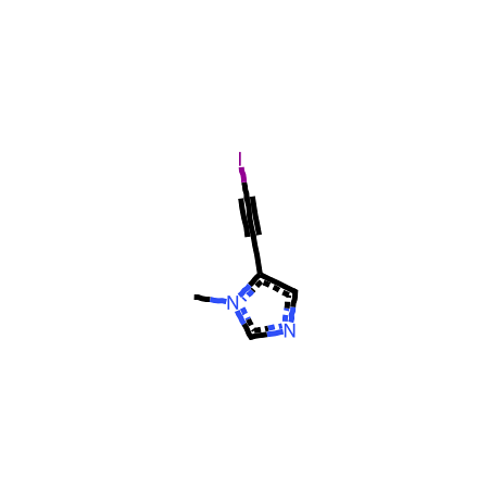 Cn1cncc1C#CI